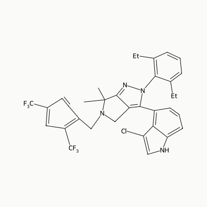 CCc1cccc(CC)c1-n1nc2c(c1-c1cccc3[nH]cc(Cl)c13)CN(Cc1ccc(C(F)(F)F)cc1C(F)(F)F)C2(C)C